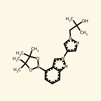 CC(C)(O)Cn1cc(-n2cc3c(B4OC(C)(C)C(C)(C)O4)cccc3n2)cn1